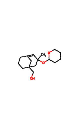 CC1(OC2CCCCO2)C=C2CCCC(CO)(C2)C1